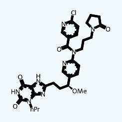 CCCn1c(=O)[nH]c(=O)c2[nH]c(CC[C@H](OC)c3ccc(N(CCCN4CCCC4=O)C(=O)c4ccc(Cl)nc4)nc3)nc21